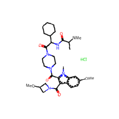 CNC(C)C(=O)NC(C(=O)N1CCN(C(=O)c2c(C(=O)N3CC(OC)C3)c3ccc(OC)cc3n2C)CC1)C1CCCCC1.Cl